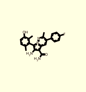 Cc1ccc(O)c(C)c1-c1c(N)c(C(N)=O)c2cc(-c3ccc(F)cc3)c(C)nn12